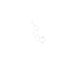 CCCS(=O)(=O)Nc1ccc(F)c(Nc2ccc3ncn(C)c(=O)c3c2)c1Cl